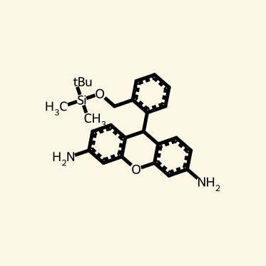 CC(C)(C)[Si](C)(C)OCc1ccccc1C1c2ccc(N)cc2Oc2cc(N)ccc21